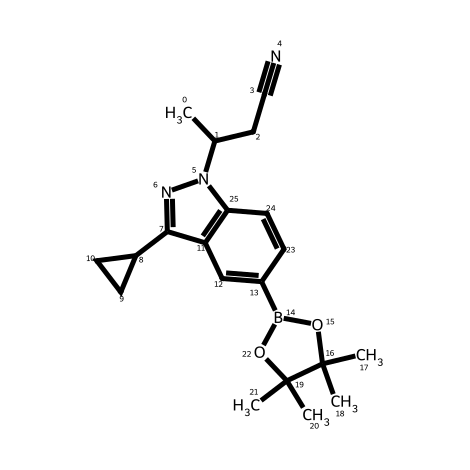 CC(CC#N)n1nc(C2CC2)c2cc(B3OC(C)(C)C(C)(C)O3)ccc21